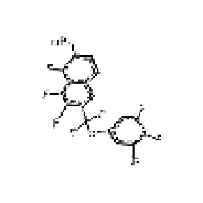 CCCc1ccc2cc(C(F)(F)Oc3cc(F)c(F)c(F)c3)c(F)c(F)c2c1F